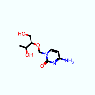 CC(O)[C@@H](CO)OCn1ccc(N)nc1=O